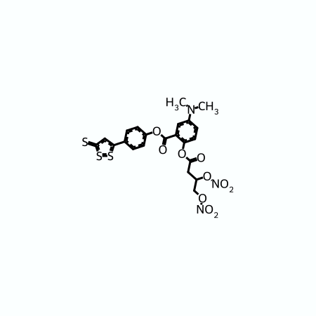 CN(C)c1ccc(OC(=O)CC(CO[N+](=O)[O-])O[N+](=O)[O-])c(C(=O)Oc2ccc(-c3cc(=S)ss3)cc2)c1